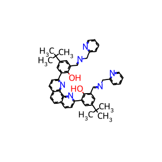 CC(C)(C)c1cc(/C=N/Cc2ccccn2)c(O)c(-c2ccc3ccc4ccc(-c5cc(C(C)(C)C)cc(/C=N/Cc6ccccn6)c5O)nc4c3n2)c1